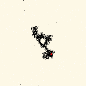 CC[C@H](O[Si](CC)(CC)CC)[C@@H](C)[C@H]1O[C@@H]1CC(C)(/C=C/C=C(\C)C1OC(=O)CC(O[Si](CC)(CC)CC)CCC(C)(OC(C)=O)C(OC(=O)Oc2ccc([N+](=O)[O-])cc2)C=CC1C)O[Si](CC)(CC)CC